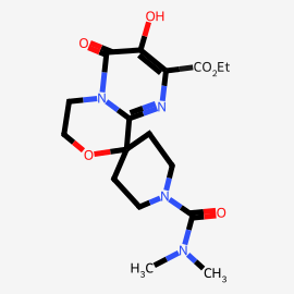 CCOC(=O)c1nc2n(c(=O)c1O)CCOC21CCN(C(=O)N(C)C)CC1